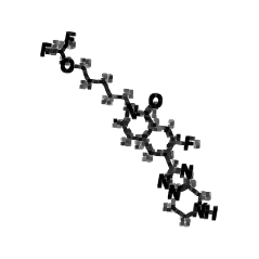 O=c1c2cc(F)c(-c3nc4n(n3)CCNC4)cc2ccn1CCCCCOC(F)F